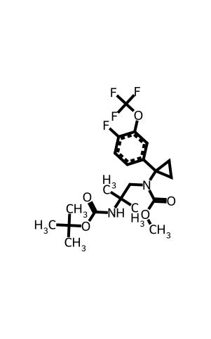 COC(=O)N(CC(C)(C)NC(=O)OC(C)(C)C)C1(c2ccc(F)c(OC(F)(F)F)c2)CC1